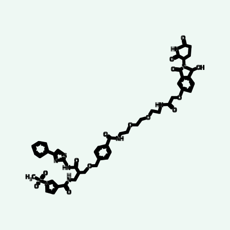 CS(=O)(=O)n1ccc(C(=O)NCC(COCc2ccc(C(=O)NCCOCCOCCNC(=O)COc3ccc4c(c3)C(=O)N(C3CCC(=O)NC3=O)C4O)cc2)C(=O)Nc2nc(-c3ccccc3)cs2)c1